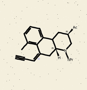 C#C/C=C1/C[C@@H]2C(C[C@@H](C(C)=O)CN2CCC)c2cccc(C)c21